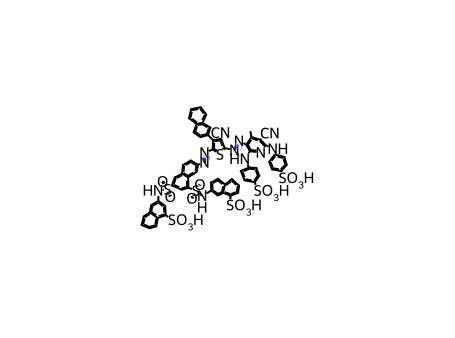 Cc1c(C#N)c(Nc2ccc(S(=O)(=O)O)cc2)nc(Nc2ccc(S(=O)(=O)O)cc2)c1/N=N/c1sc(/N=N/c2ccc3cc(S(=O)(=O)Nc4cc(S(=O)(=O)O)c5ccccc5c4)cc(S(=O)(=O)Nc4ccc5cccc(S(=O)(=O)O)c5c4)c3c2)c(-c2ccc3ccccc3c2)c1C#N